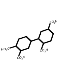 O=C(O)C1CCC(C(=O)O)C(C2CCC(C(=O)O)C(C(=O)O)C2)C1